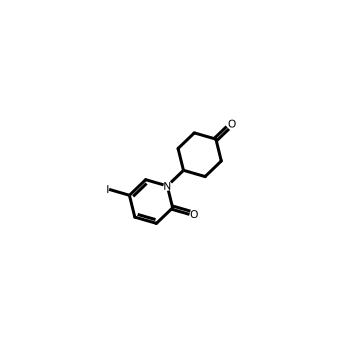 O=C1CCC(n2cc(I)ccc2=O)CC1